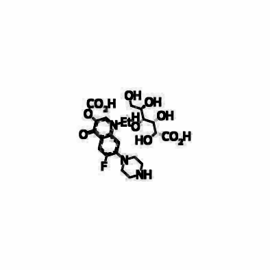 CCn1cc(OC(=O)O)c(=O)c2cc(F)c(N3CCNCC3)cc21.O=C(O)[C@H](O)[C@@H](O)[C@H](O)[C@H](O)CO